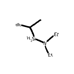 CCN(CC)[SiH2]C(C)C(C)(C)C